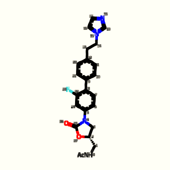 CC(=O)NC[C@H]1CN(c2ccc(-c3ccc(CCn4ccnc4)cc3)c(F)c2)C(=O)O1